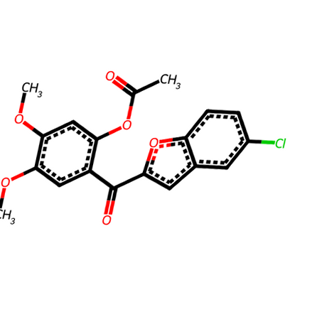 COc1cc(OC(C)=O)c(C(=O)c2cc3cc(Cl)ccc3o2)cc1OC